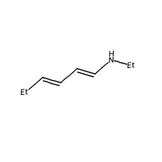 CCC=CC=CNCC